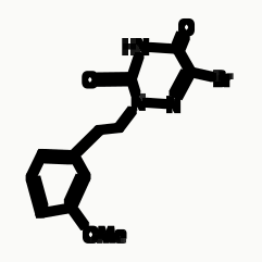 COc1cccc(CCn2nc(Br)c(=O)[nH]c2=O)c1